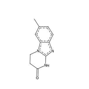 Cc1ccc2nc3n(c2c1)CCC(=O)N3